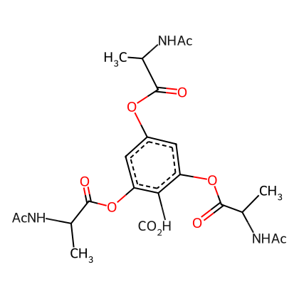 CC(=O)NC(C)C(=O)Oc1cc(OC(=O)C(C)NC(C)=O)c(C(=O)O)c(OC(=O)C(C)NC(C)=O)c1